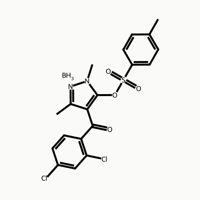 B.Cc1ccc(S(=O)(=O)Oc2c(C(=O)c3ccc(Cl)cc3Cl)c(C)nn2C)cc1